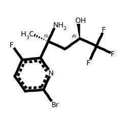 C[C@](N)(C[C@@H](O)C(F)(F)F)c1nc(Br)ccc1F